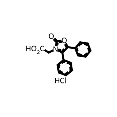 Cl.O=C(O)Cn1c(-c2ccccc2)c(-c2ccccc2)oc1=O